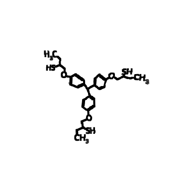 CCC(S)COc1ccc(C(c2ccc(OCC(S)CC)cc2)c2ccc(OCC(S)CC)cc2)cc1